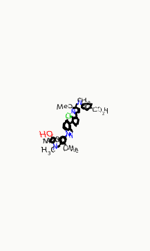 COc1cc(-n2ncc3c(-c4cccc(-c5ccc(CN(C)C67CCC(C(=O)O)(CC6)CC7)c(OC)n5)c4Cl)cccc32)cc(OC)c1CN(C)[C@H]1C[C@H](O)C1